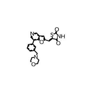 O=C1NC(=O)/C(=C/c2cc3cncc(-c4cccc(CN5CCOCC5)c4)c3o2)S1